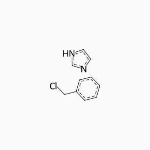 ClCc1ccccc1.c1c[nH]cn1